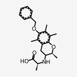 Cc1c(C)c2c(c(C)c1OCc1ccccc1)CC(N[C@@H](C)C(=O)O)[C@H](C)O2